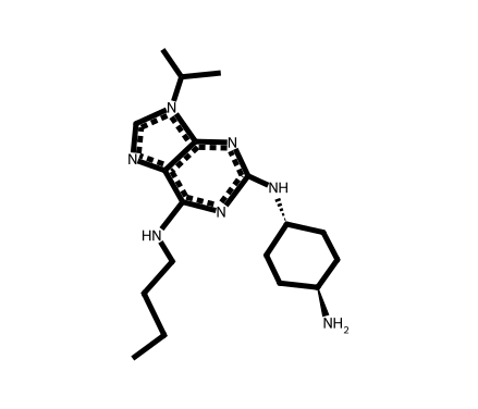 CCCCNc1nc(N[C@H]2CC[C@H](N)CC2)nc2c1ncn2C(C)C